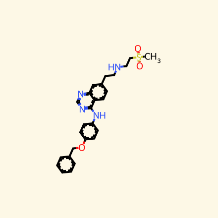 CS(=O)(=O)CCNCCc1ccc2c(Nc3ccc(OCc4ccccc4)cc3)ncnc2c1